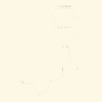 CC(C)P(=O)(NCc1ccccc1)OCc1cnc([N+](=O)[O-])s1